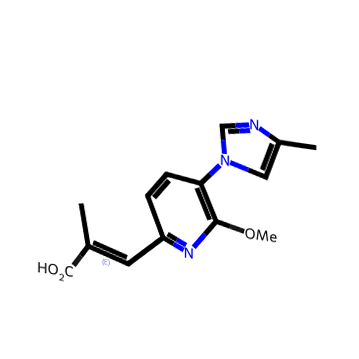 COc1nc(/C=C(\C)C(=O)O)ccc1-n1cnc(C)c1